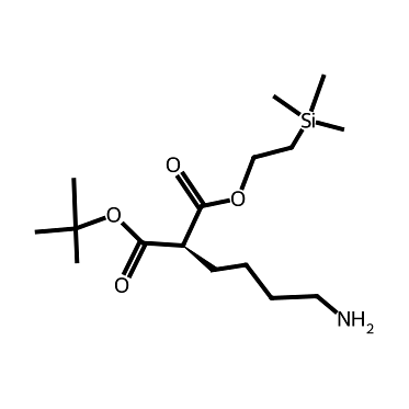 CC(C)(C)OC(=O)[C@H](CCCCN)C(=O)OCC[Si](C)(C)C